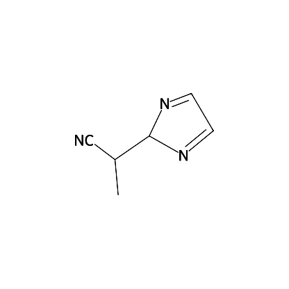 CC(C#N)C1N=CC=N1